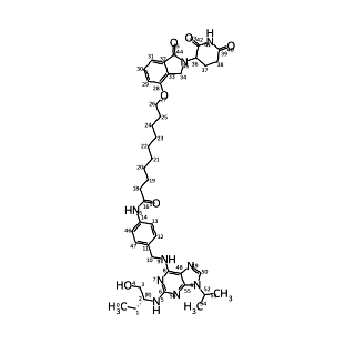 CC[C@H](CO)Nc1nc(NCc2ccc(NC(=O)CCCCCCCCCOc3cccc4c3CN(C3CCC(=O)NC3=O)C4=O)cc2)c2ncn(C(C)C)c2n1